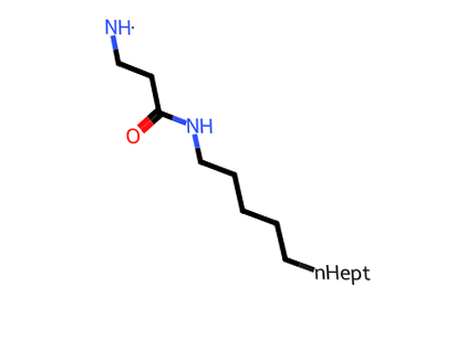 CCCCCCCCCCCCNC(=O)CC[NH]